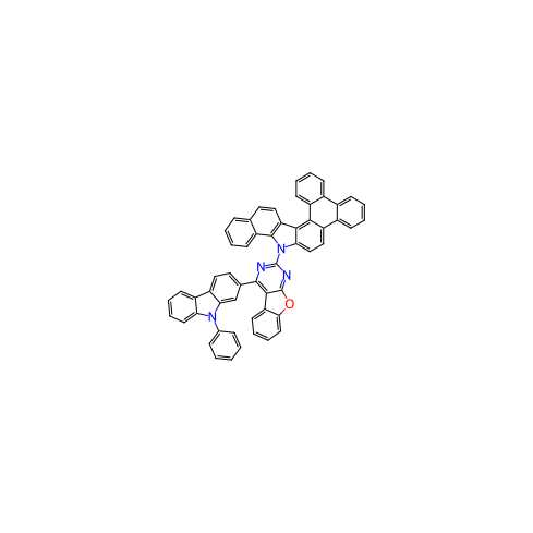 c1ccc(-n2c3ccccc3c3ccc(-c4nc(-n5c6ccc7c8ccccc8c8ccccc8c7c6c6ccc7ccccc7c65)nc5oc6ccccc6c45)cc32)cc1